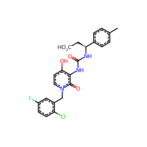 Cc1ccc([C@H](CC(=O)O)NC(=O)Nc2c(O)ccn(Cc3cc(F)ccc3Cl)c2=O)cc1